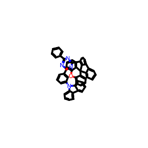 c1ccc(-c2nc(-c3cccc(-n4c5ccccc5c5ccccc54)c3)nc(-c3cccc4c3C3(c5ccccc5Oc5ccccc53)c3ccccc3-4)n2)cc1